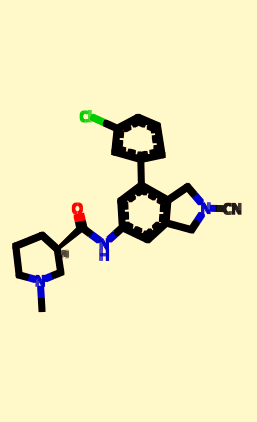 CN1CCC[C@@H](C(=O)Nc2cc3c(c(-c4cccc(Cl)c4)c2)CN(C#N)C3)C1